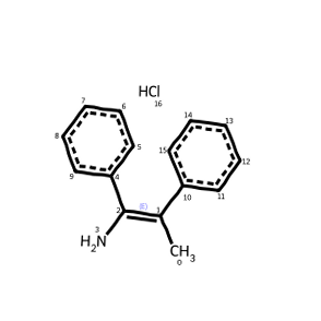 C/C(=C(\N)c1ccccc1)c1ccccc1.Cl